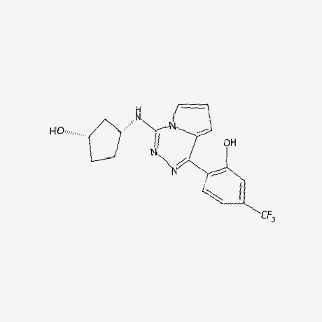 Oc1cc(C(F)(F)F)ccc1-c1nnc(N[C@@H]2CC[C@H](O)C2)n2cccc12